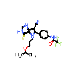 CC(C)OCCCn1c(-c2ccc(NC(=O)C(F)(F)F)cc2)c(C#N)c2nc[nH]c(=S)c21